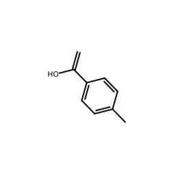 C=C(O)c1ccc(C)cc1